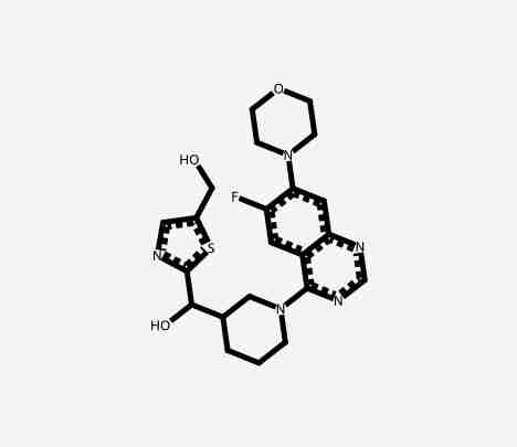 OCc1cnc(C(O)C2CCCN(c3ncnc4cc(N5CCOCC5)c(F)cc34)C2)s1